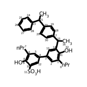 CCCc1cc(-c2cc(CCC)c(O)c(S(=O)(=O)O)c2)cc(C(C)c2ccc(C(C)c3ccccc3)cc2)c1O